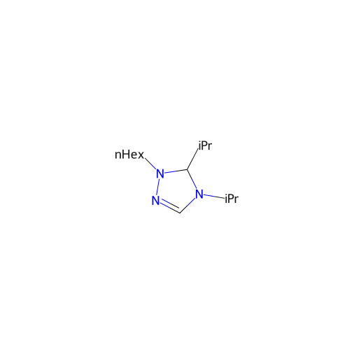 CCCCCCN1N=CN(C(C)C)C1C(C)C